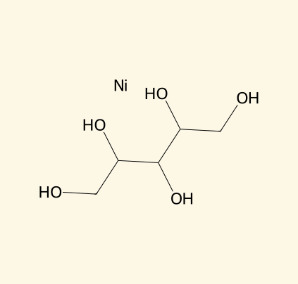 OCC(O)C(O)C(O)CO.[Ni]